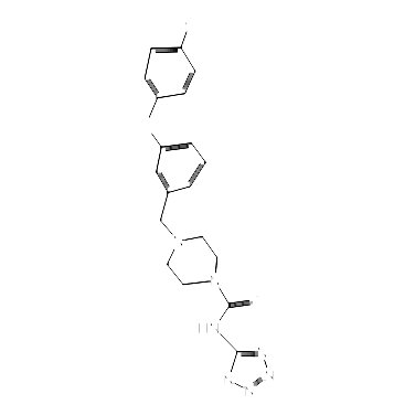 O=C(Nc1nnn[nH]1)N1CCN(Cc2cccc(Oc3ccc(C(F)(F)F)cc3)c2)CC1